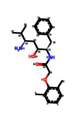 Cc1cccc(C)c1OCC(=O)N[C@@H](Cc1ccccc1)[C@@H](O)C[C@H](N)C(C)C